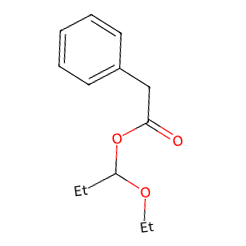 CCOC(CC)OC(=O)Cc1ccccc1